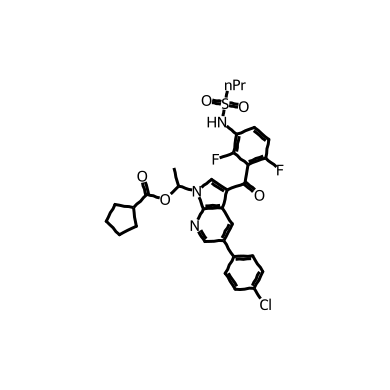 CCCS(=O)(=O)Nc1ccc(F)c(C(=O)c2cn(C(C)OC(=O)C3CCCC3)c3ncc(-c4ccc(Cl)cc4)cc23)c1F